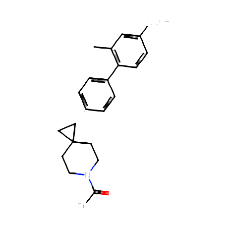 CCC(=O)N1CCC2(CC1)C[C@@H]2c1ccc(-c2ccc(C(=O)O)cc2C)cc1